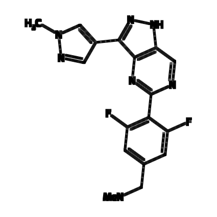 CNCc1cc(F)c(-c2ncc3[nH]nc(-c4cnn(C)c4)c3n2)c(F)c1